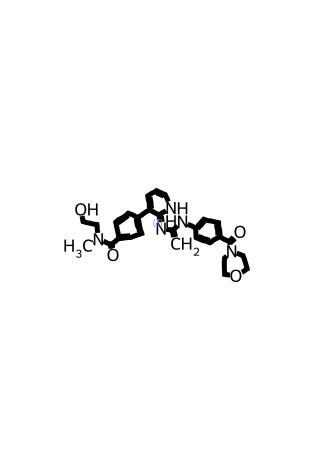 C=C(/N=c1\[nH]cccc1-c1ccc(C(=O)N(C)CCO)cc1)Nc1ccc(C(=O)N2CCOCC2)cc1